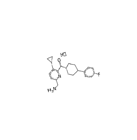 Cl.NCc1ccc(C2CC2)c(C(=O)C2CCC(c3ccc(F)cc3)CC2)n1